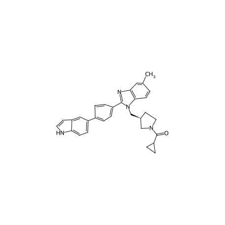 Cc1ccc2c(c1)nc(-c1ccc(-c3ccc4[nH]ccc4c3)cc1)n2C[C@H]1CCN(C(=O)C2CC2)C1